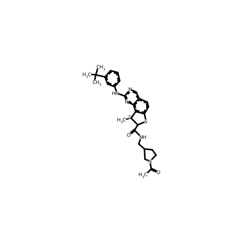 CC(=O)N1CCC(CNC(=O)C2Sc3ccc4cnc(Nc5cccc(C(C)(C)C)c5)nc4c3[C@@H]2C)C1